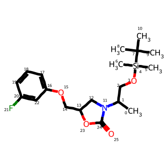 CC(CO[Si](C)(C)C(C)(C)C)N1CC(COc2cccc(F)c2)OC1=O